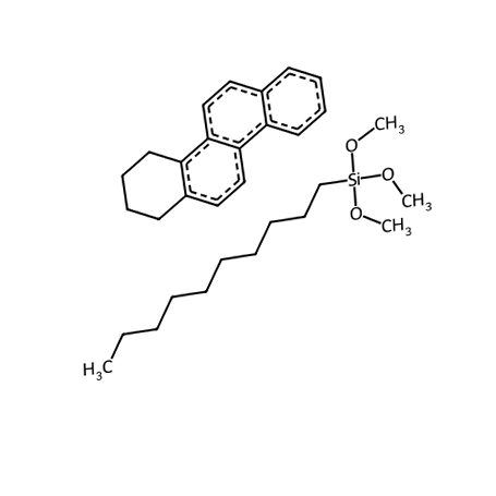 CCCCCCCCCC[Si](OC)(OC)OC.c1ccc2c(c1)ccc1c3c(ccc12)CCCC3